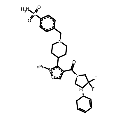 CCCn1ncc(C(=O)N2C[C@@H](C3C=CC=CC3)C(F)(F)C2)c1C1CCN(Cc2ccc(S(N)(=O)=O)cc2)CC1